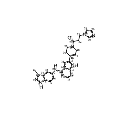 Cc1n[nH]c2ccc(Nc3ncnc4[nH]c(C5=CCN(C(=O)CCn6ccnc6)CC5)cc34)cc12